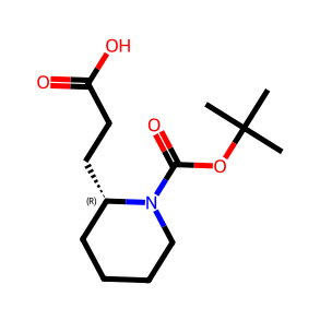 CC(C)(C)OC(=O)N1CCCC[C@@H]1CCC(=O)O